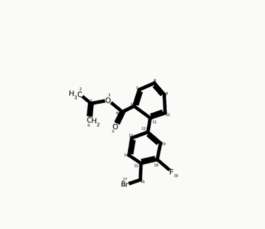 C=C(C)OC(=O)c1ccccc1-c1ccc(CBr)c(F)c1